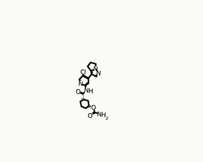 NC(=O)O[C@@H]1CCC[C@H](C(=O)Nc2cc(-c3cnn4c3CCC4)c(Cl)cn2)C1